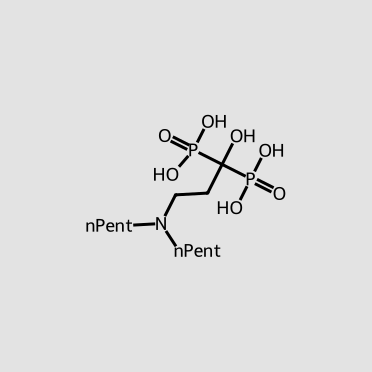 CCCCCN(CCCCC)CCC(O)(P(=O)(O)O)P(=O)(O)O